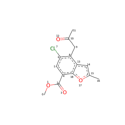 COC(=O)c1cc(Cl)c(CC(C)=O)c2cc(C)oc12